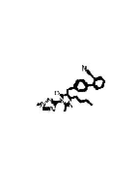 CCCCc1nc(C)n(-c2ncn(C)n2)c(=O)c1Cc1ccc(-c2ccccc2C#N)cc1